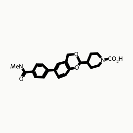 CNC(=O)c1ccc(-c2ccc3c(c2)COC(C2CCN(C(=O)O)CC2)O3)cc1